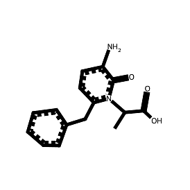 CC(C(=O)O)n1c(Cc2ccccc2)ccc(N)c1=O